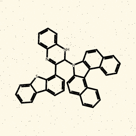 c1ccc2c(c1)N=C(c1cccc3c1sc1ccccc13)C(n1c3ccc4ccccc4c3c3c4ccccc4ccc31)N2